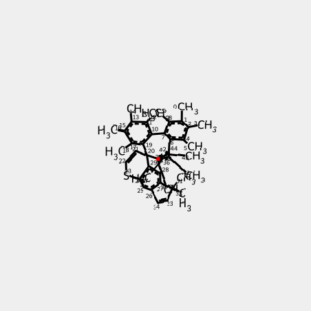 Cc1c(C)c(C)c2c(c1C)-c1c(C)c(C)c(C)c(C)c1C1(C=CSc3cc4c(cc31)C(C)(C)C=C4)c1c(C)c(C)c(C)c(C)c1-2